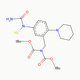 CC(C)(C)OC(=O)N(Cc1cc(N(S)C(N)=O)ccc1N1CCCCC1)C(=O)OC(C)(C)C